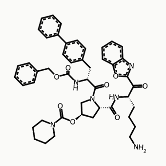 NCCCC[C@H](NC(=O)[C@@H]1C[C@@H](OC(=O)N2CCCCC2)CN1C(=O)[C@@H](Cc1ccc(-c2ccccc2)cc1)NC(=O)OCc1ccccc1)C(=O)c1nc2ccccc2o1